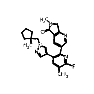 Cc1cc(-c2cnn(CC3(C)CCCC3)c2)c(-c2cnc3c(c2)C(=O)N(C)C3)nc1F